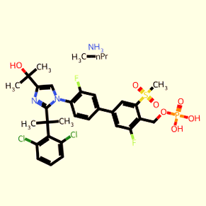 CC(C)(O)c1cn(-c2ccc(-c3cc(F)c(COP(=O)(O)O)c(S(C)(=O)=O)c3)cc2F)c(C(C)(C)c2c(Cl)cccc2Cl)n1.CCCC.N